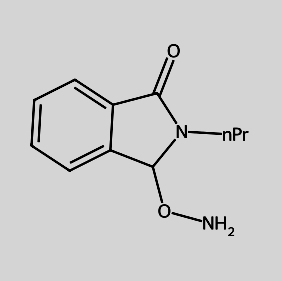 CCCN1C(=O)c2ccccc2C1ON